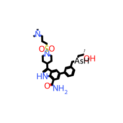 C[C@H](O)C[AsH]Cc1cccc(-c2cc(C(N)=O)c3[nH]cc(C4CCN(S(=O)(=O)CCCN(C)C)CC4)c3c2)c1